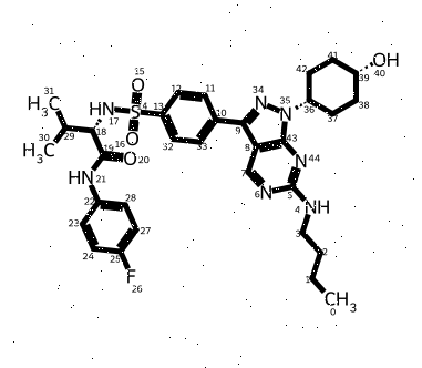 CCCCNc1ncc2c(-c3ccc(S(=O)(=O)N[C@H](C(=O)Nc4ccc(F)cc4)C(C)C)cc3)nn([C@H]3CC[C@@H](O)CC3)c2n1